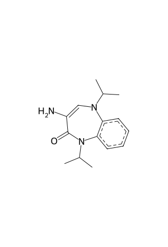 CC(C)N1C=C(N)C(=O)N(C(C)C)c2ccccc21